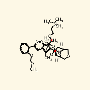 COCOc1ccccc1-c1cc2c(C)c(C3=C[C@@H]4COC[C@H](C3)N4C(=O)OC(C)(C)C)n(COCC[Si](C)(C)C)c2nn1